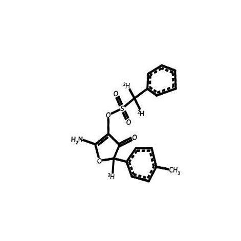 [2H]C1(c2ccc(C)cc2)OC(N)=C(OS(=O)(=O)C([2H])([2H])c2ccccc2)C1=O